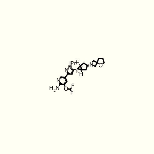 CC(C)n1nc(-c2cnc(N)c(OC(F)F)c2)cc1[C@H]1[C@@H]2C[C@H](N3CC4(CCCO4)C3)C[C@@H]21